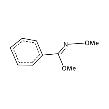 CON=C(OC)c1ccccc1